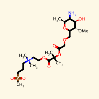 CO[C@@H]1C(COCC(=O)OC(C)(C)C(=O)OCC[N+](C)(C)CCCS(C)(=O)=O)O[C@@H](C)C(N)[C@H]1O